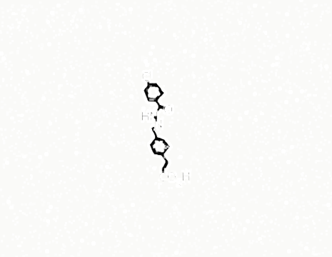 O=C(O)C=Cc1ccc(C=NNC(=O)c2ccc(Cl)cc2)cc1